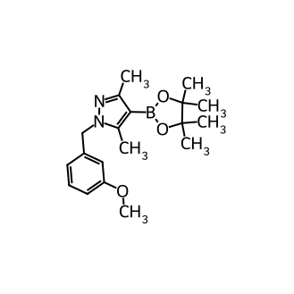 COc1cccc(Cn2nc(C)c(B3OC(C)(C)C(C)(C)O3)c2C)c1